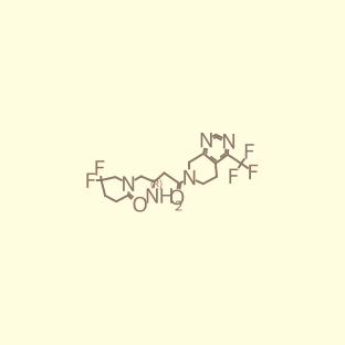 N[C@H](CC(=O)N1CCc2c(ncnc2C(F)(F)F)C1)CN1CC(F)(F)CCC1=O